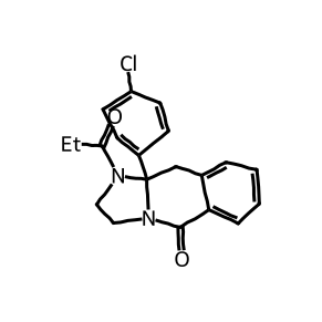 CCC(=O)N1CCN2C(=O)c3ccccc3CC12c1ccc(Cl)cc1